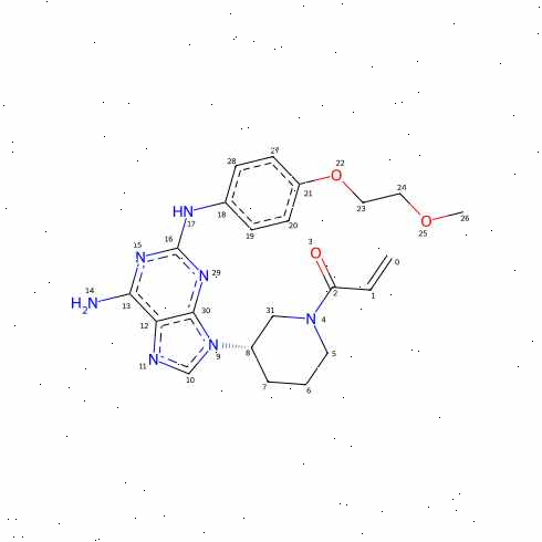 C=CC(=O)N1CCC[C@H](n2cnc3c(N)nc(Nc4ccc(OCCOC)cc4)nc32)C1